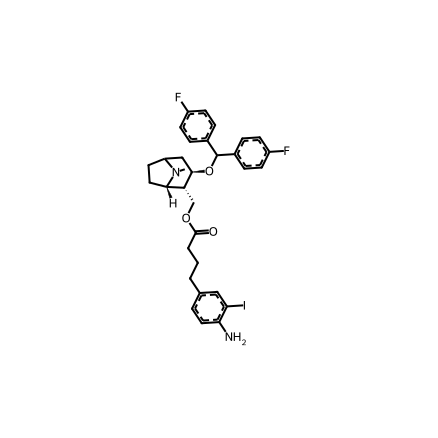 CN1C2CC[C@H]1[C@@H](COC(=O)CCCc1ccc(N)c(I)c1)[C@H](OC(c1ccc(F)cc1)c1ccc(F)cc1)C2